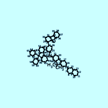 CC1(C)c2cc(-c3ccc4ccccc4c3)ccc2-c2ccc(N(c3ccc(-c4cccc5c4oc4ccccc45)cc3)c3cccc4c3-c3ccccc3C4(c3ccccc3)c3ccccc3)cc21